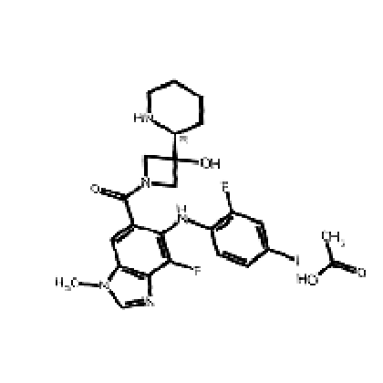 CC(=O)O.Cn1cnc2c(F)c(Nc3ccc(I)cc3F)c(C(=O)N3CC(O)([C@@H]4CCCCN4)C3)cc21